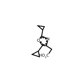 O=C(O)Cc1nc(C2CC2)oc1C1CC1